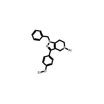 CCOc1ccc(-c2nn(Cc3ccccc3)c3c2CN(C(C)=O)CC3)cc1